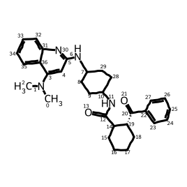 CN(C)c1cc(NC2CCC(NC(=O)C3CCCC[C@H]3C(=O)c3ccccc3)CC2)nc2ccccc12